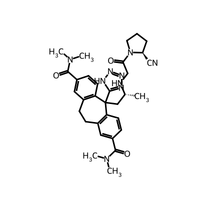 C[C@H](CC1(c2nnn[nH]2)c2ccc(C(=O)N(C)C)cc2CCc2cc(C(=O)N(C)C)ccc21)NCC(=O)N1CCC[C@H]1C#N